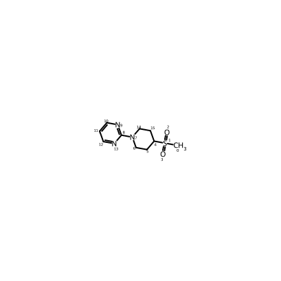 CS(=O)(=O)C1CCN(c2nc[c]cn2)CC1